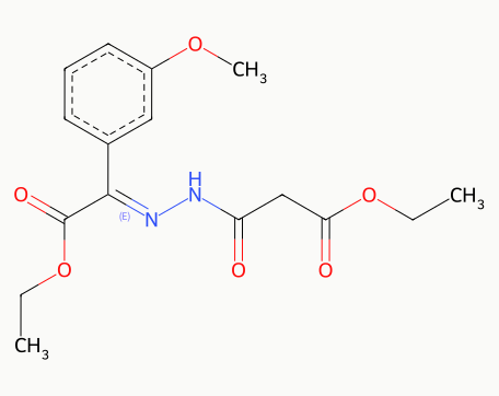 CCOC(=O)CC(=O)N/N=C(/C(=O)OCC)c1cccc(OC)c1